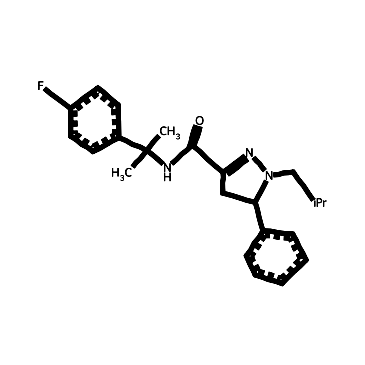 CC(C)CN1N=C(C(=O)NC(C)(C)c2ccc(F)cc2)CC1c1ccccc1